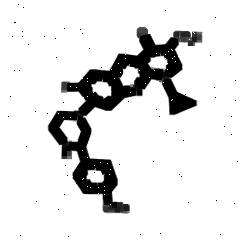 COc1ccc(C2CN(c3cc4nc5c(cc4cc3F)c(=O)c(C(=O)O)cn5C3CC3)CCN2)cc1